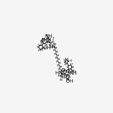 Cc1ncsc1-c1ccc([C@H](C)NC(=O)[C@@H]2C[C@@H](O)CN2C(=O)[C@@H](NC(=O)CCCCCCCCCCCCN2CCC(n3nc(N)c4nnc(-c5ccccc5O)cc43)CC2)C(C)(C)C)cc1